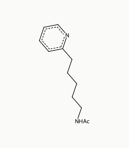 CC(=O)NCCCCCc1ccccn1